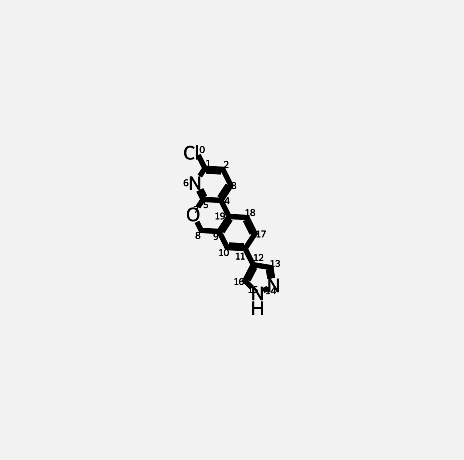 Clc1ccc2c(n1)OCc1cc(-c3cn[nH]c3)ccc1-2